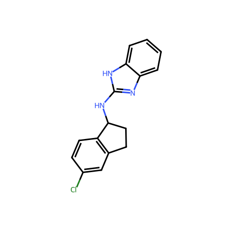 Clc1ccc2c(c1)CCC2Nc1nc2ccccc2[nH]1